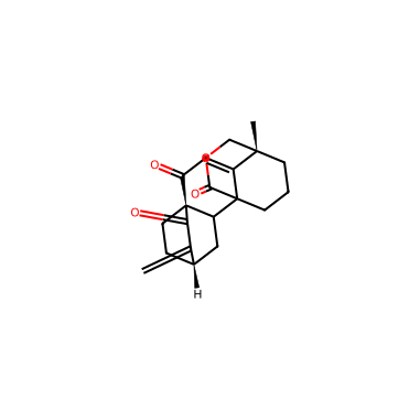 C=C1C(=O)[C@]23CC[C@H]1CC2C12CCC[C@@](C)(COC1=O)C2=CC3=O